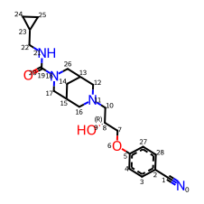 N#Cc1ccc(OC[C@H](O)CN2CC3CC(C2)CN(C(=O)NCC2CC2)C3)cc1